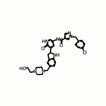 O=C(Nc1c[nH]c(=O)c(C2Cc3cc(CN4CCN(CCO)CC4)ccc3N2)c1)c1cnn(Cc2ccc(Cl)cc2)c1